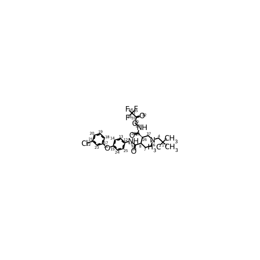 CC(C)(C)CN1CCC(C(=O)Nc2ccc(Oc3cccc(Cl)c3)cc2)[C@@H](C(=O)NOC(=O)C(F)(F)F)C1